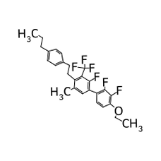 CCCc1ccc(CCc2c(C)cc(-c3ccc(OCC)c(F)c3F)c(F)c2C(F)(F)F)cc1